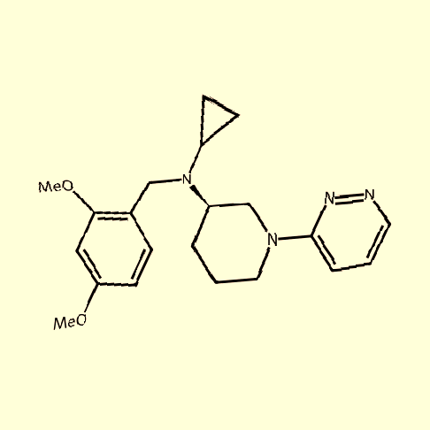 COc1ccc(CN(C2CC2)[C@@H]2CCCN(c3cccnn3)C2)c(OC)c1